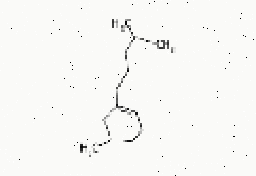 CC(C)CCCC1=CCCC(C)C1